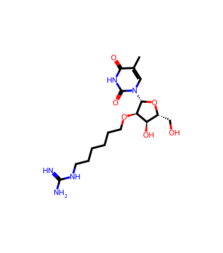 Cc1cn([C@@H]2O[C@H](CO)[C@@H](O)[C@H]2OCCCCCCNC(=N)N)c(=O)[nH]c1=O